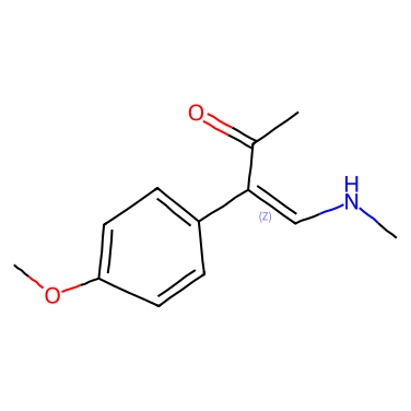 CN/C=C(\C(C)=O)c1ccc(OC)cc1